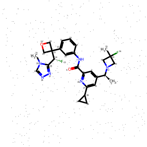 C[C@@H](c1cc(C(=O)Nc2cccc(C3([C@H](F)c4nncn4C)COC3)c2)nc(C2CC2)c1)N1CC(C)(F)C1